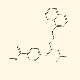 COC(=O)c1ccc(C=C(CCOc2cccc3ccccc23)CN(C)C)cc1